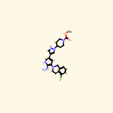 CC(C)(C)OC(=O)N1CCC(n2cc(-c3cnc(N)c(N4CCc5c(Cl)cccc5C4)c3)cn2)CC1